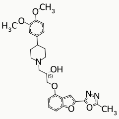 COc1ccc(C2CCN(C[C@H](O)COc3cccc4oc(-c5nnc(C)o5)cc34)CC2)cc1OC